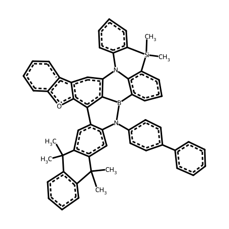 CC1(C)c2ccccc2C(C)(C)c2cc3c(cc21)-c1c2c(cc4c1oc1ccccc14)N1c4ccccc4[Si](C)(C)c4cccc(c41)B2N3c1ccc(-c2ccccc2)cc1